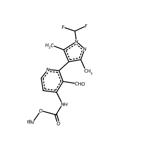 Cc1nn(C(F)F)c(C)c1-c1nccc(NC(=O)OC(C)(C)C)c1C=O